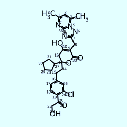 Cc1cc(C)n2nc(CC3=C(O)CC(CCc4ccc(C(=O)CO)c(Cl)c4)(C4CCCC4)OC3=O)nc2n1